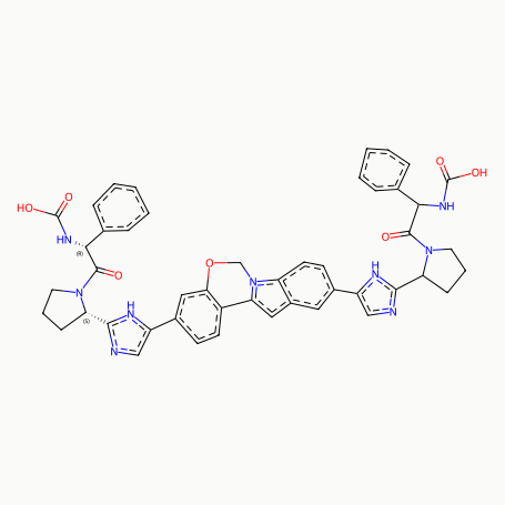 O=C(O)NC(C(=O)N1CCCC1c1ncc(-c2ccc3c(c2)cc2n3COc3cc(-c4cnc([C@@H]5CCCN5C(=O)[C@H](NC(=O)O)c5ccccc5)[nH]4)ccc3-2)[nH]1)c1ccccc1